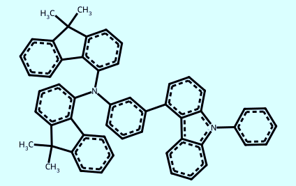 CC1(C)c2ccccc2-c2c(N(c3cccc(-c4cccc5c4c4ccccc4n5-c4ccccc4)c3)c3cccc4c3-c3ccccc3C4(C)C)cccc21